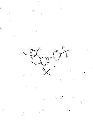 CCc1nc(Cl)c2n1CCN(C(=O)OC(C)(C)C)C2COc1ccc(C(F)(F)F)cc1